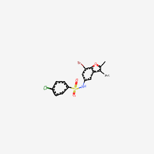 CC(=O)c1c(C)oc2c(Br)cc(NS(=O)(=O)c3ccc(Cl)cc3)cc12